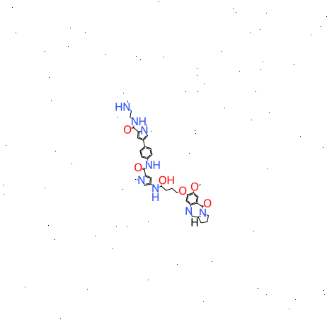 CNCCNC(=O)c1cc(-c2ccc(NC(=O)c3cc(NC(O)CCCOc4cc5c(cc4OC)C(=O)N4CCC[C@@H]4C=N5)cn3C)cc2)cn1C